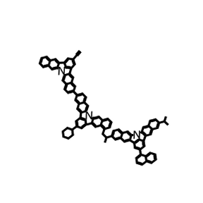 C#Cc1cc2c3cc4ccccc4cc3n3c4cc5ccc(-c6ccc7cc8c(cc7c6)c6cc(C7CCCCC7)cc7c9cc%10c(CC(C)c%11ccc%12cc%13c(cc%12c%11)c%11cc(-c%12cccc%14ccccc%12%14)cc%12c%14cc%15cc(C(C)C)ccc%15cc%14n%13c%12%11)cccc%10cc9n8c67)cc5cc4c(c1)c23